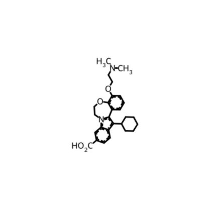 CN(C)CCOc1cccc2c1OCCn1c-2c(C2CCCCC2)c2ccc(C(=O)O)cc21